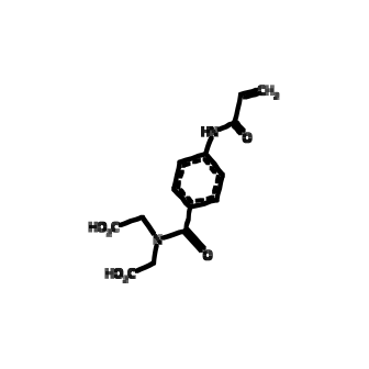 C=CC(=O)Nc1ccc(C(=O)N(CC(=O)O)CC(=O)O)cc1